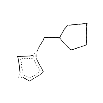 c1cn(CC2CCCC2)cn1